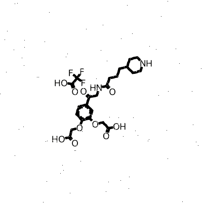 O=C(O)C(F)(F)F.O=C(O)COc1ccc(C(=O)CNC(=O)CCCC2CCNCC2)cc1OCC(=O)O